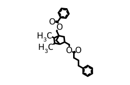 CC1C2CC(COC(=O)c3ccccc3)(CC2COC(=O)CCCc2ccccc2)C1C